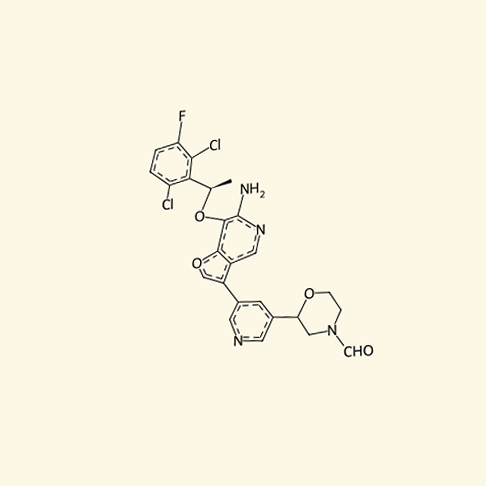 C[C@@H](Oc1c(N)ncc2c(-c3cncc(C4CN(C=O)CCO4)c3)coc12)c1c(Cl)ccc(F)c1Cl